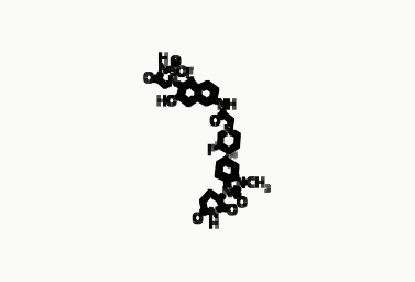 Cn1c(=O)n(C2CCC(=O)NC2=O)c2ccc([C@H]3CCN(CC(=O)Nc4ccc5c(F)c(N6CC(=O)NS6(=O)=O)c(O)cc5c4)C[C@@H]3F)cc21